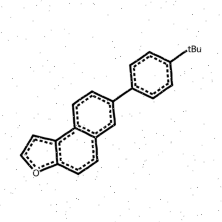 CC(C)(C)c1ccc(-c2ccc3c(ccc4occc43)c2)cc1